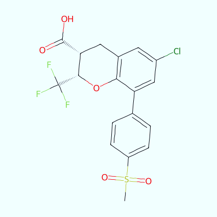 CS(=O)(=O)c1ccc(-c2cc(Cl)cc3c2O[C@H](C(F)(F)F)[C@H](C(=O)O)C3)cc1